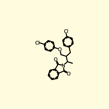 CC(C(COc1ccc(Cl)cc1)Cc1ccc(Cl)cc1)N1C(=O)c2ccccc2C1=O